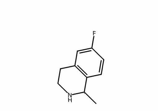 C[C]1NCCc2cc(F)ccc21